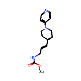 CC(C)(C)OC(=O)NCC=CC1CCN(c2ccncc2)CC1